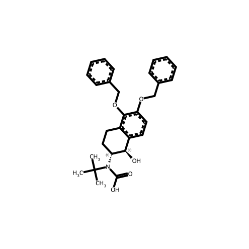 CC(C)(C)N(C(=O)O)[C@@H]1CCc2c(ccc(OCc3ccccc3)c2OCc2ccccc2)[C@H]1O